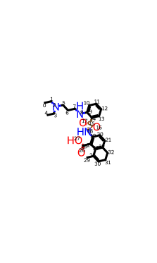 CCN(CC)CCCNc1ccccc1S(=O)(=O)Nc1ccc2c(c1C(=O)O)C(C)=CCC2